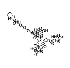 COc1cc2c(cc1OCc1cccc(COc3cc4c(cc3OC)C(=O)N3CC5(CC5)C[C@H]3[C@H](O)N4C(=O)OCc3ccc(O[C@H]4O[C@@H](C(=O)O)[C@H](O)[C@@H](O)[C@@H]4O)c(NC(=O)CCOCCOCCOCCOCCNC(=O)OCC4[C@H]5CCC#CCC[C@@H]45)c3)c1)NC[C@@H]1CC3(CC3)CN1C2=O